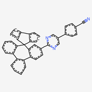 N#Cc1ccc(-c2cnc(-c3ccc4c(c3)C3(c5ccccc5-c5ccccc5-4)c4ccccc4-c4ccccc43)nc2)cc1